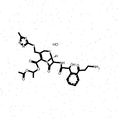 CC(=O)OC(C)OC(=O)C1=C(CSc2nnc(C)s2)CS[C@H]2C(NC(=O)C(O)c3ccccc3C(=O)CCN)C(=O)N12.Cl